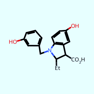 CCC1C(C(=O)O)c2cc(O)ccc2N1Cc1cccc(O)c1